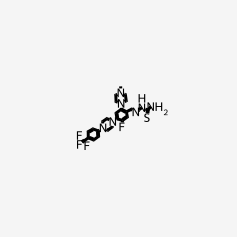 CN1CCN(c2cc(N3CCN(c4ccc(C(F)(F)F)cc4)CC3)c(F)cc2C=NNC(N)=S)CC1